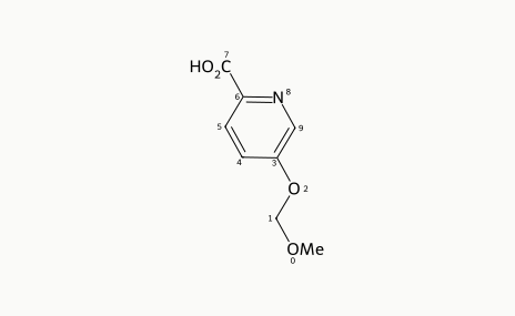 COCOc1ccc(C(=O)O)nc1